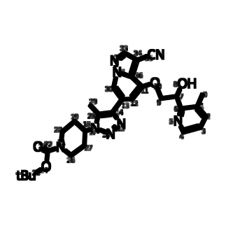 Cc1cccnc1C(O)COc1cc(-c2nnn(C3CCN(C(=O)OC(C)(C)C)CC3)c2C)cn2ncc(C#N)c12